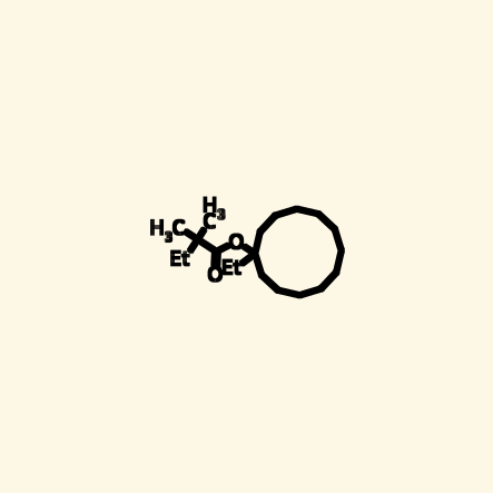 CCC1(OC(=O)C(C)(C)CC)CCCCCCCCCCC1